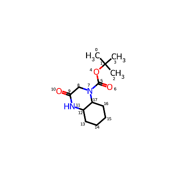 CC(C)(C)OC(=O)N1CC(=O)NC2CCCCC21